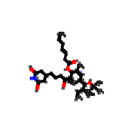 C=CCC=CCC(=O)OC(/C(C)=C\[C@@H](C)[C@H](O[Si](C)(C)C(C)(C)C)[C@H](C=C)OC)[C@H](C)C(=O)CCCC1CC(=O)NC(=O)C1